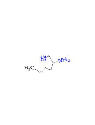 CC[C@H]1C[C@@H](N)CN1